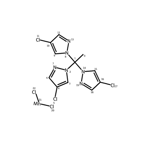 CC(n1cc(Cl)cn1)(n1cc(Cl)cn1)n1cc(Cl)cn1.[Cl][Mn][Cl]